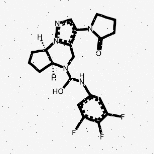 O=C1CCCN1c1cnn2c1CN(C(O)Nc1cc(F)c(F)c(F)c1)[C@H]1CCC[C@H]12